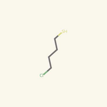 SCCCCCl